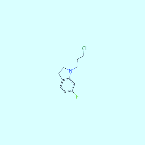 Fc1ccc2c(c1)N(CCCCl)CC2